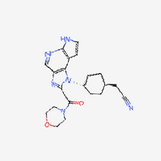 N#CC[C@H]1CC[C@H](n2c(C(=O)N3CCOCC3)nc3cnc4[nH]ccc4c32)CC1